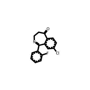 O=C1CCN=C(c2ccccc2F)c2cc(Cl)ccc21